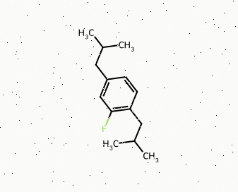 CC(C)Cc1ccc(CC(C)C)c(F)c1